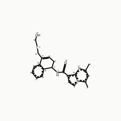 Cc1cc(C)n2ccc(C(=O)NC3CC=C(CCCO)c4ccccc43)c2n1